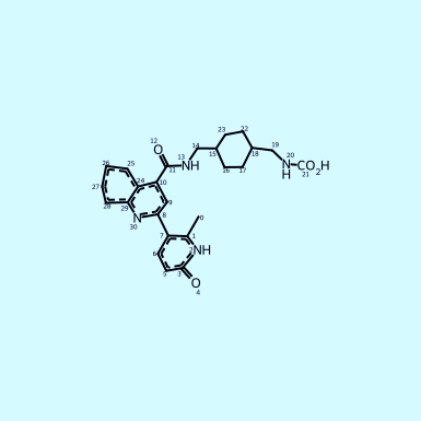 Cc1[nH]c(=O)ccc1-c1cc(C(=O)NCC2CCC(CNC(=O)O)CC2)c2ccccc2n1